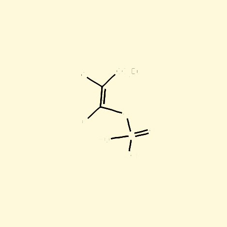 CCOC(=O)C(C)=C(C)OP(=O)(O)O